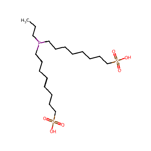 CCCP(CCCCCCCCS(=O)(=O)O)CCCCCCCCS(=O)(=O)O